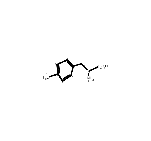 NN(Cc1ccc(C(F)(F)F)cc1)C(=O)O